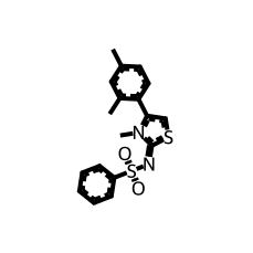 Cc1ccc(-c2csc(=NS(=O)(=O)c3ccccc3)n2C)c(C)c1